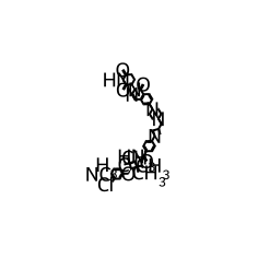 CC1(C)[C@H](NC(=O)c2ccc(N3CC(CN4CCN(c5ccc6c(=O)n([C@@H]7CCC(=O)NC7=O)ncc6c5)CC4)C3)cc2)C(C)(C)[C@H]1Oc1ccc(C#N)c(Cl)c1